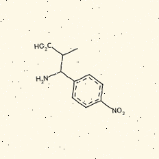 CC(C(=O)O)C(N)c1ccc([N+](=O)[O-])cc1